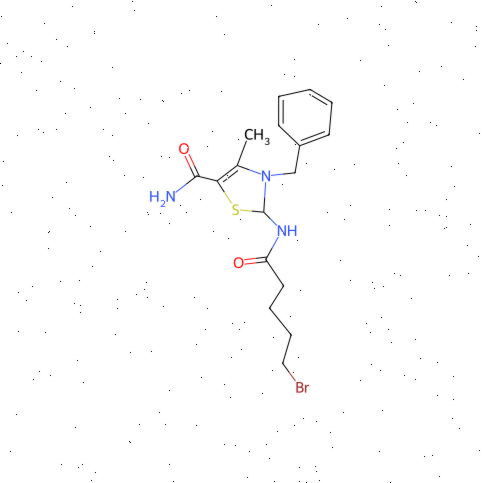 CC1=C(C(N)=O)SC(NC(=O)CCCCBr)N1Cc1ccccc1